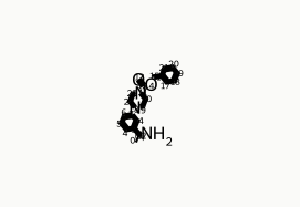 C[C@H](N)c1cccc(N2CCN(C(=O)OCc3ccccc3)CC2)c1